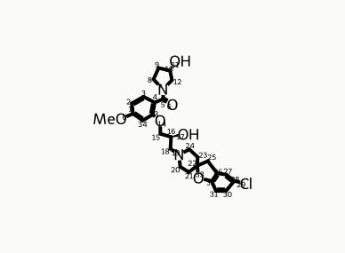 COc1ccc(C(=O)N2CC[C@H](O)C2)c(OC[C@@H](O)CN2CCC3(CC2)Cc2cc(Cl)ccc2O3)c1